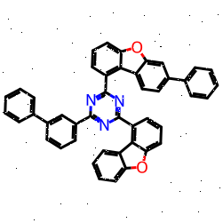 c1ccc(-c2cccc(-c3nc(-c4cccc5oc6ccccc6c45)nc(-c4cccc5oc6cc(-c7ccccc7)ccc6c45)n3)c2)cc1